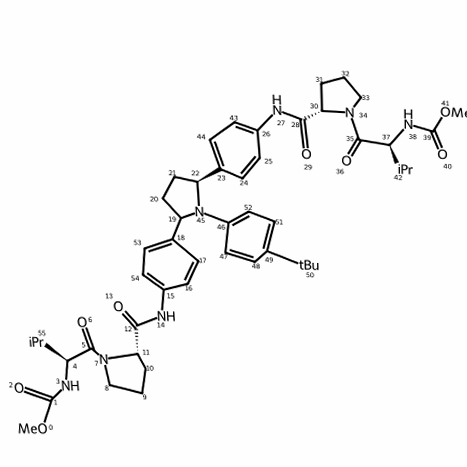 COC(=O)N[C@H](C(=O)N1CCC[C@H]1C(=O)Nc1ccc(C2CC[C@@H](c3ccc(NC(=O)[C@@H]4CCCN4C(=O)[C@@H](NC(=O)OC)C(C)C)cc3)N2c2ccc(C(C)(C)C)cc2)cc1)C(C)C